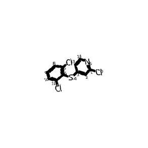 Clc1cc(Sc2c(Cl)cccc2Cl)ccn1